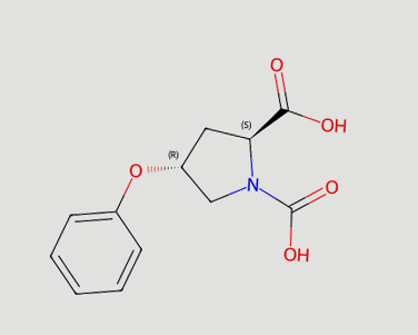 O=C(O)[C@@H]1C[C@@H](Oc2ccccc2)CN1C(=O)O